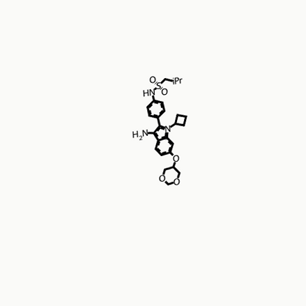 CC(C)CS(=O)(=O)Nc1ccc(-c2c(N)c3ccc(OC4COCOC4)cc3n2C2CCC2)cc1